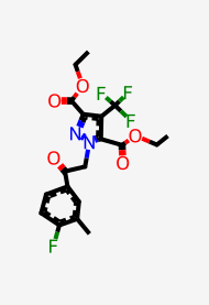 CCOC(=O)c1nn(CC(=O)c2ccc(F)c(C)c2)c(C(=O)OCC)c1C(F)(F)F